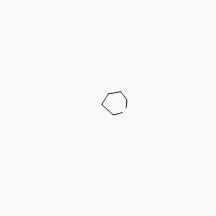 C1CCSCC1.S